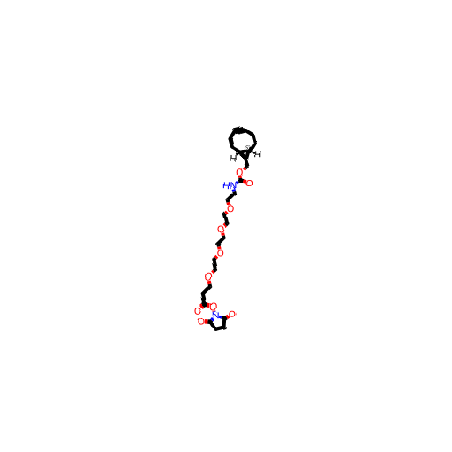 O=C(CCOCCOCCOCCOCCNC(=O)OCC1[C@H]2CCC#CCC[C@@H]12)ON1C(=O)CCC1=O